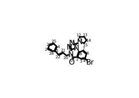 O=c1c2cc(Br)ccc2n2c(N3CCCC3)nnc2n1CC=Cc1ccccc1